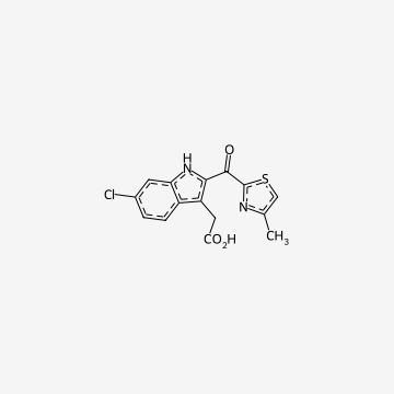 Cc1csc(C(=O)c2[nH]c3cc(Cl)ccc3c2CC(=O)O)n1